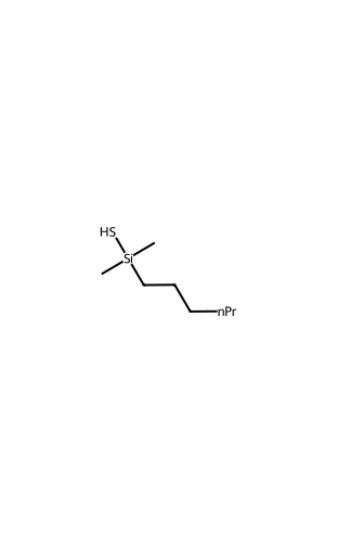 CCCCCC[Si](C)(C)S